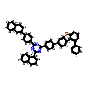 c1ccc(-c2cccc3sc4cc(-c5ccc(-c6nc(-c7ccc(-c8ccc9ccccc9c8)cc7)nc(-c7cccc8ccccc78)n6)cc5)ccc4c23)cc1